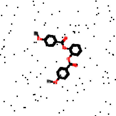 CCOc1ccc(C(=O)Oc2ccccc2OC(=O)c2ccc(OCC)cc2)cc1